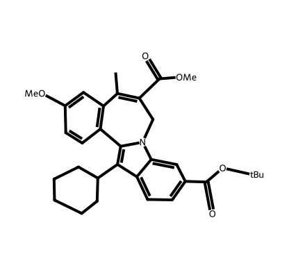 COC(=O)C1=C(C)c2cc(OC)ccc2-c2c(C3CCCCC3)c3ccc(C(=O)OC(C)(C)C)cc3n2C1